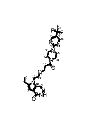 CCc1cc2c(=O)[nH]ncc2n1CCOCCC(=O)N1CCN(c2ncc(C(F)(F)F)cn2)CC1